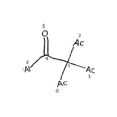 CC(=O)C(C(C)=O)(C(C)=O)[C](=O)[Al]